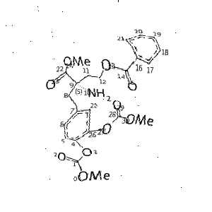 COC(=O)Oc1ccc(C[C@](N)(CCOC(=O)c2ccccc2)C(=O)OC)cc1OC(=O)OC